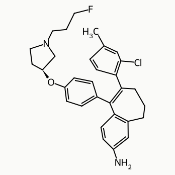 Cc1ccc(C2=C(c3ccc(O[C@H]4CCN(CCCF)C4)cc3)c3ccc(N)cc3CCC2)c(Cl)c1